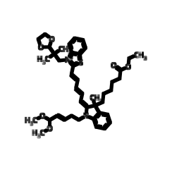 CCOC(=O)CCCCCC1(C)\C(=C/C=C/C=C/c2sc3ccccc3[n+]2CC(C)(C)C2OCCO2)N(CC/C=C/C(OC)OC)c2ccccc21